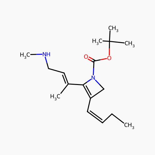 CC/C=C\C1=C(C(/C)=C/CNC)N(C(=O)OC(C)(C)C)C1